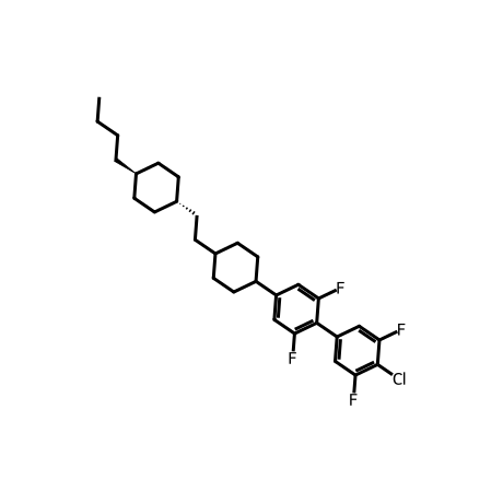 CCCC[C@H]1CC[C@H](CCC2CCC(c3cc(F)c(-c4cc(F)c(Cl)c(F)c4)c(F)c3)CC2)CC1